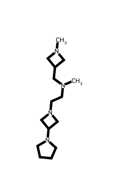 CN(CCN1CC(N2CCCC2)C1)CC1CN(C)C1